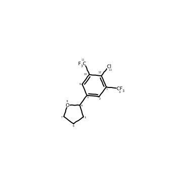 FC(F)(F)c1cc(C2[CH]CCO2)cc(C(F)(F)F)c1Cl